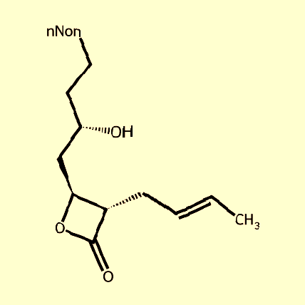 C/C=C/C[C@@H]1C(=O)O[C@H]1C[C@@H](O)CCCCCCCCCCC